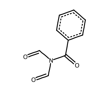 O=CN(C=O)C(=O)c1ccccc1